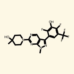 Cn1nc(-c2cc(C(F)(F)F)c(F)c(O)c2F)c2cnc(N3CCC(C)(O)CC3)nc21